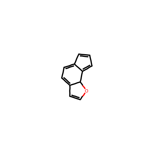 C1=CC2=CC=C3C=COC3C2=C1